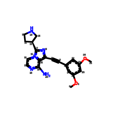 COc1cc(C#Cc2nc([C@H]3CCNC3)n3ccnc(N)c23)cc(OC)c1